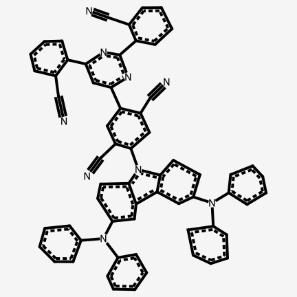 N#Cc1ccccc1-c1cc(-c2cc(C#N)c(-n3c4ccc(N(c5ccccc5)c5ccccc5)cc4c4cc(N(c5ccccc5)c5ccccc5)ccc43)cc2C#N)nc(-c2ccccc2C#N)n1